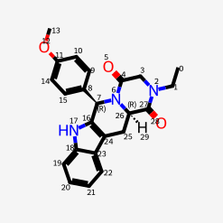 CCN1CC(=O)N2[C@H](c3ccc(OC)cc3)c3[nH]c4ccccc4c3C[C@@H]2C1=O